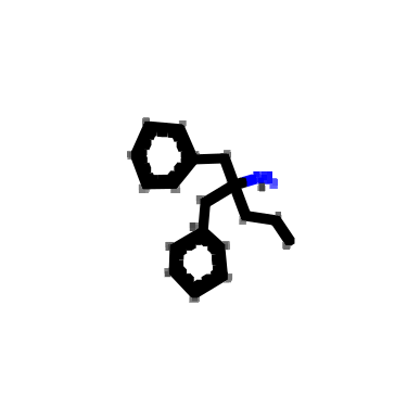 CCCC(N)(Cc1ccccc1)Cc1ccccc1